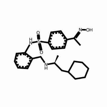 CC(=NO)c1ccc(S(=O)(=O)Nc2ccccc2CN[C@@H](C)CC2CCCCC2)cc1